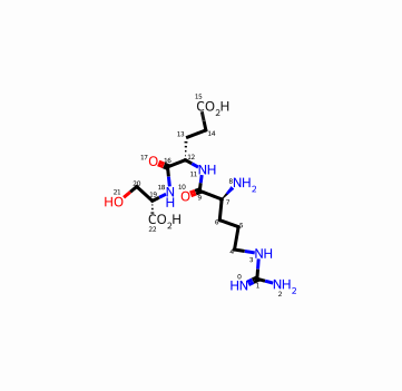 N=C(N)NCCC[C@H](N)C(=O)N[C@@H](CCC(=O)O)C(=O)N[C@@H](CO)C(=O)O